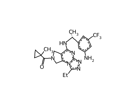 CCc1nnc2nc(N[C@H](C)c3cc(N)cc(C(F)(F)F)c3)c3c(n12)CN(C(=O)C1(C)CC1)C3